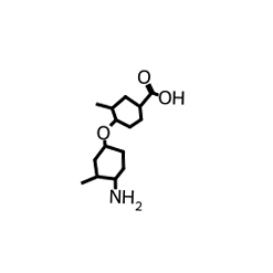 CC1CC(OC2CCC(C(=O)O)CC2C)CCC1N